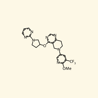 COc1ncc(N2CCc3ncnc(OC4CCN(c5ncccn5)C4)c3C2)cc1C(F)(F)F